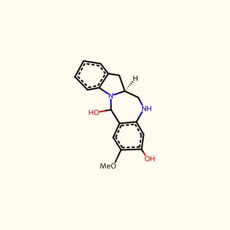 COc1cc2c(cc1O)NC[C@@H]1Cc3ccccc3N1C2O